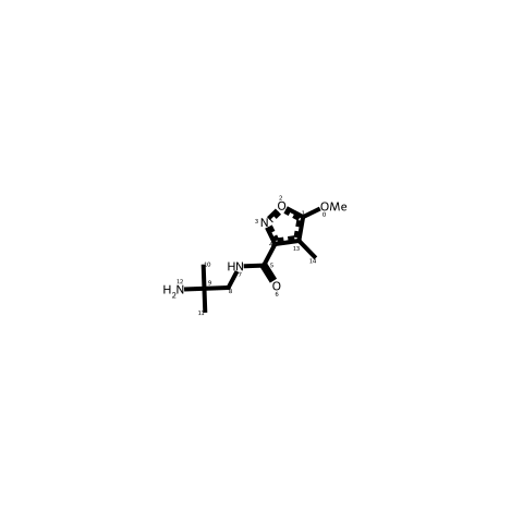 COc1onc(C(=O)NCC(C)(C)N)c1C